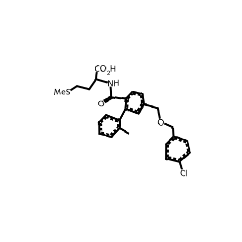 CSCCC(NC(=O)c1ccc(COCc2ccc(Cl)cc2)cc1-c1ccccc1C)C(=O)O